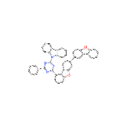 c1ccc(-c2nc(-c3cccc4oc5cc(-c6ccc7oc8ccccc8c7c6)ccc5c34)nc(-n3c4ccccc4c4ccccc43)n2)cc1